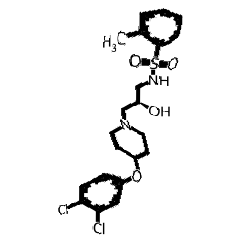 Cc1ccccc1S(=O)(=O)NC[C@@H](O)CN1CCC(Oc2ccc(Cl)c(Cl)c2)CC1